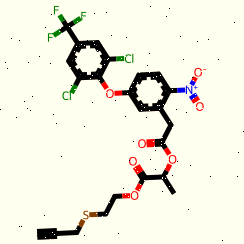 C#CCSCCOC(=O)C(C)OC(=O)Cc1cc(Oc2c(Cl)cc(C(F)(F)F)cc2Cl)ccc1[N+](=O)[O-]